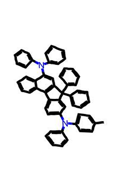 Cc1ccc(N(c2ccccc2)c2ccc3c(c2)C(c2ccccc2)(c2ccccc2)c2cc(N(c4ccccc4)c4ccccc4)c4ccccc4c2-3)cc1